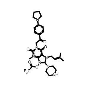 CC(C)=CCN1c2c(n(C)c(=O)n(CC(=O)c3ccc(N4CCCC4)cc3)c2=O)N(OC(=O)C(F)(F)F)C1N1CCNCC1